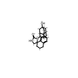 O=C1NCC2(CCCc3ccccc32)N1C1C2CC3CC1CC(O)(C3)C2